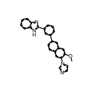 COc1cc2cc(-c3cccc(-c4nc5ccccc5[nH]4)c3)ccc2cc1-n1ccnc1